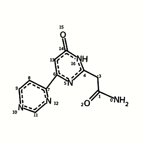 NC(=O)[CH]c1nc(-c2ccncn2)cc(=O)[nH]1